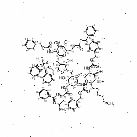 CCCCOC[C@H]1O[C@H](O[C@H]2[C@H](O[C@@H]3O[C@H](CO[Si](c4ccccc4)(c4ccccc4)C(C)(C)C)[C@@H](O[C@H]4O[C@@H](CNC(=O)OCc5ccccc5)[C@@H](O)[C@H](O)[C@H]4NC(=O)OCc4ccccc4)[C@H]3O)[C@@H](O)[C@H](NC(=O)[C@H](CCN)OC(=O)c3ccccc3)C[C@@H]2NC(=O)OCc2ccccc2)[C@H](NC(=O)OCc2ccccc2)[C@@H](O)[C@@H]1O